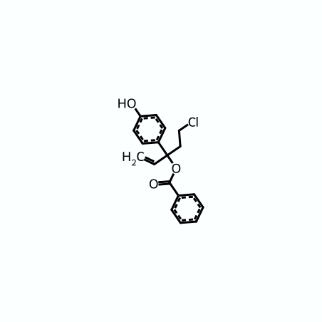 C=CC(CCCl)(OC(=O)c1ccccc1)c1ccc(O)cc1